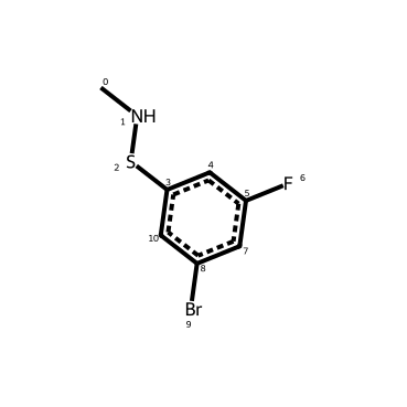 CNSc1cc(F)cc(Br)c1